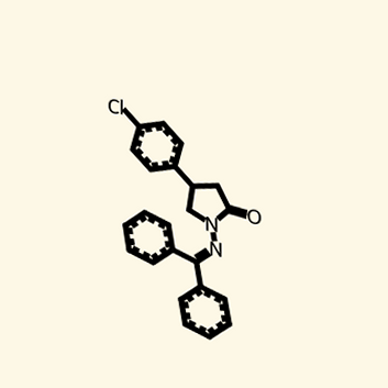 O=C1CC(c2ccc(Cl)cc2)CN1N=C(c1ccccc1)c1ccccc1